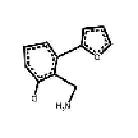 NCc1c(Cl)cccc1-c1cc[c]o1